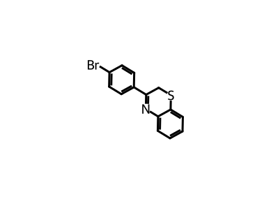 Brc1ccc(C2=Nc3ccccc3SC2)cc1